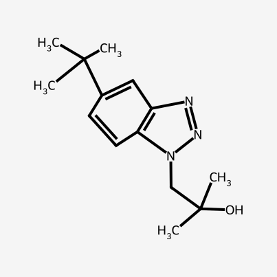 CC(C)(O)Cn1nnc2cc(C(C)(C)C)ccc21